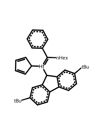 CCCCCC[C](c1ccccc1)=[Hf]([CH]1C=CC=C1)[CH]1c2cc(C(C)(C)C)ccc2-c2ccc(C(C)(C)C)cc21